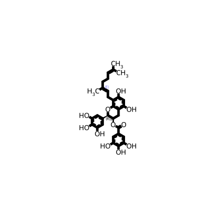 CC(C)=CCC/C(C)=C/Cc1c(O)cc(O)c2c1O[C@H](c1cc(O)c(O)c(O)c1)[C@H](OC(=O)c1cc(O)c(O)c(O)c1)C2